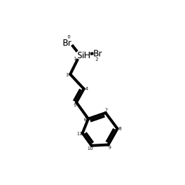 Br[SiH](Br)CC=Cc1ccccc1